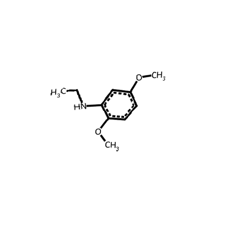 CCNc1cc(OC)ccc1OC